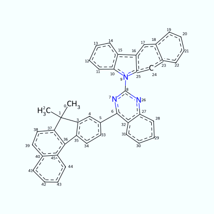 CC1(C)c2cc(-c3nc(-n4c5ccccc5c5cc6ccccc6cc54)nc4ccccc34)ccc2-c2c1ccc1ccccc21